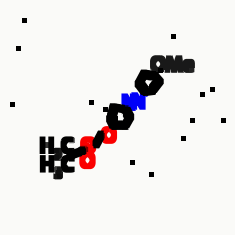 C=C(C)C(=O)OCCOc1ccc(/N=N/c2ccc(OC)cc2)cc1